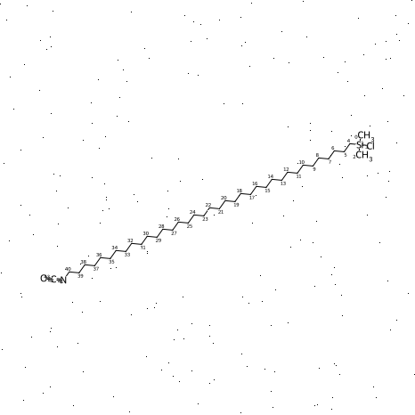 C[Si](C)(Cl)CCCCCCCCCCCCCCCCCCCCCCCCCCCCCCCCCCCCCN=C=O